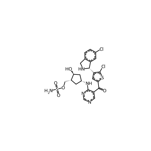 NS(=O)(=O)OC[C@H]1C[C@@H](Nc2ncncc2C(=O)c2cc([C@@H]3NCc4ccc(Cl)cc43)c(Cl)s2)C[C@@H]1O